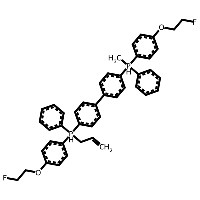 C=CC[PH](c1ccccc1)(c1ccc(OCCF)cc1)c1ccc(-c2ccc([PH](C)(c3ccccc3)c3ccc(OCCF)cc3)cc2)cc1